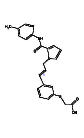 Cc1ccc(NC(=O)c2cccn2C/C=C/c2cccc(SCC(=O)O)c2)cc1